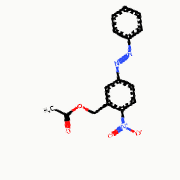 CC(=O)OCc1cc(N=Nc2ccccc2)ccc1[N+](=O)[O-]